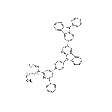 C=N/C(=C\C=C/C)c1cc(-c2ccc(-n3c4ccccc4c4cc(-c5ccc6c(c5)c5ccccc5n6-c5ccccc5)cnc43)cc2)cc(-c2ccccn2)n1